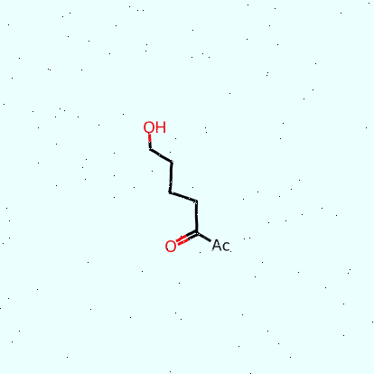 CC(=O)C(=O)CCCCO